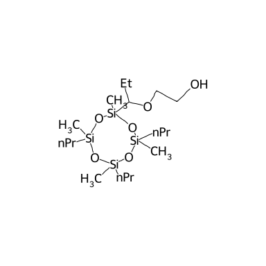 CCC[Si]1(C)O[Si](C)(CCC)O[Si](C)(C(CC)OCCO)O[Si](C)(CCC)O1